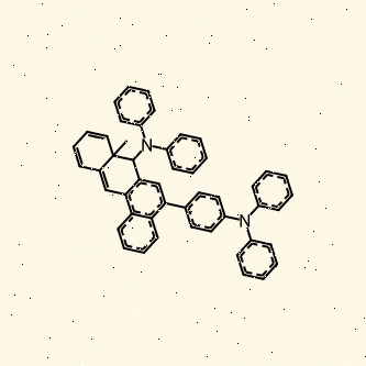 CC12C=CC=CC1=Cc1c(cc(-c3ccc(N(c4ccccc4)c4ccccc4)cc3)c3ccccc13)C2N(c1ccccc1)c1ccccc1